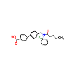 CCCCC(=O)N(Cc1ccc(-c2ccc(C(=O)O)cc2)cc1)C1(F)C=CC=CC1